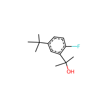 CC(C)(C)c1ccc(F)c(C(C)(C)O)c1